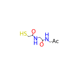 CC(=O)CNC(=O)CNC(=O)CS